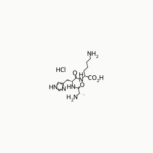 C[C@H](N)C(=O)N[C@@H](Cc1c[nH]cn1)C(=O)N[C@@H](CCCCN)C(=O)O.Cl